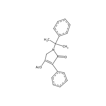 CC(=O)OC1=C(c2ccccc2)C(=O)N(C(C)(C)c2ccccc2)C1